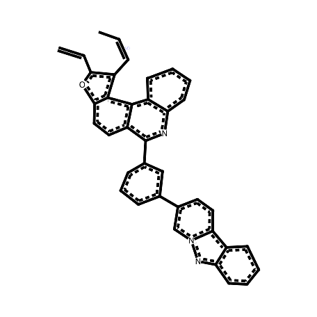 C=Cc1oc2ccc3c(-c4cccc(-c5ccc6c7ccccc7nn6c5)c4)nc4ccccc4c3c2c1/C=C\C